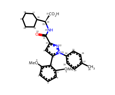 COc1cccc(OC)c1-c1cc(C(=O)N[C@H](C(=O)O)C2CCCCC2)nn1-c1ccc(C)cc1